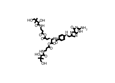 CC(C)(CO)[C@@H](O)C(=O)NCCC(=O)OC(=O)CC[C@H](NC(=O)c1ccc(NCc2cnc3[nH]c(N)nc(=O)c3n2)cc1)C(=O)OC(=O)CCNC(=O)[C@H](O)C(C)(C)CO